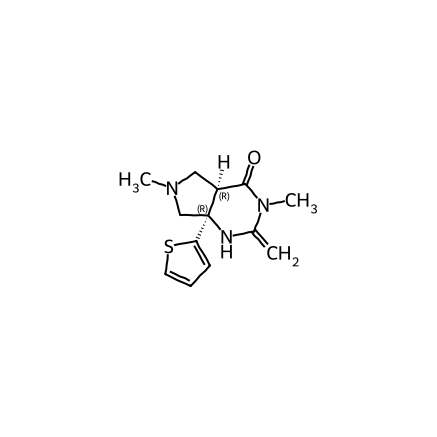 C=C1N[C@@]2(c3cccs3)CN(C)C[C@H]2C(=O)N1C